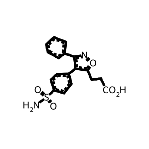 NS(=O)(=O)c1ccc(-c2c(-c3ccccc3)noc2CCC(=O)O)cc1